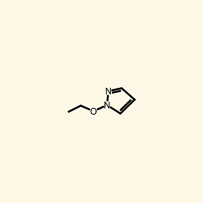 CCOn1cccn1